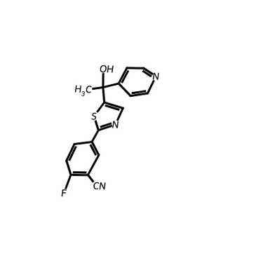 CC(O)(c1ccncc1)c1cnc(-c2ccc(F)c(C#N)c2)s1